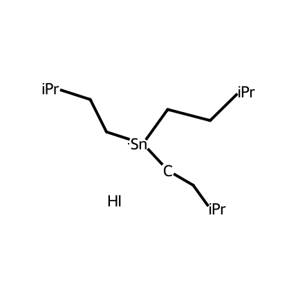 CC(C)C[CH2][Sn]([CH2]CC(C)C)[CH2]CC(C)C.I